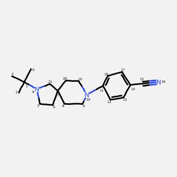 CC(C)(C)N1CCC2(CCN(c3ccc(C#N)cc3)CC2)C1